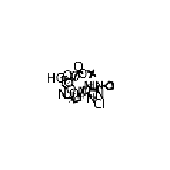 CN(C[C@@H]1CC[C@H](n2cnc3c(NC4CCCC4)nc(Cl)nc32)O1)C(=O)CP(=O)(O)OCOC(=O)OCC(C)(C)C